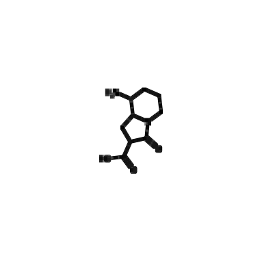 NC1CCCN2C(=O)C(C(=O)O)CC12